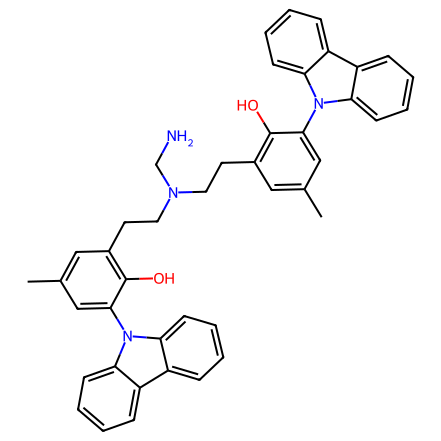 Cc1cc(CCN(CN)CCc2cc(C)cc(-n3c4ccccc4c4ccccc43)c2O)c(O)c(-n2c3ccccc3c3ccccc32)c1